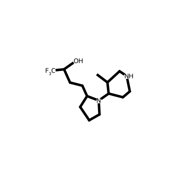 CC1CNCCC1N1CCCC1CCC(O)C(F)(F)F